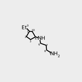 CCC1CCC(NCCCN)C1